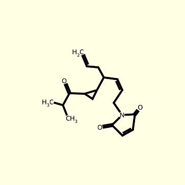 C=CCC(/C=C\CN1C(=O)C=CC1=O)C1CC1C(=O)C(C)C